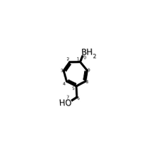 BC1C=CC=C(CO)C=C1